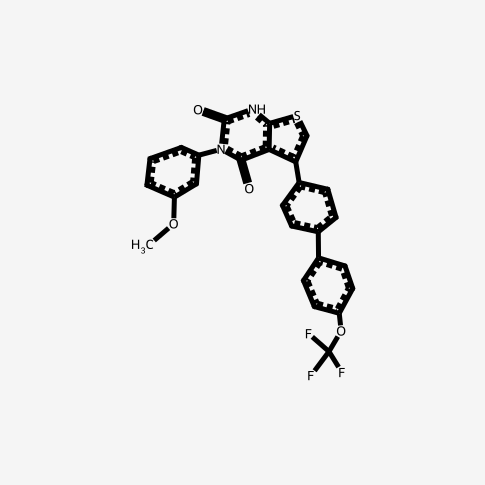 COc1cccc(-n2c(=O)[nH]c3scc(-c4ccc(-c5ccc(OC(F)(F)F)cc5)cc4)c3c2=O)c1